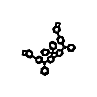 c1ccc(N(c2ccc(-c3ccc4c(c3)CC4)cc2)c2ccc3c(c2)C(c2ccccc2)(c2ccccc2)c2cc(N(c4ccccc4)c4ccc(-c5ccc6c(c5)CC6)cc4)ccc2-3)cc1